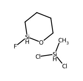 C[SiH](Cl)Cl.F[SiH]1CCCCO1